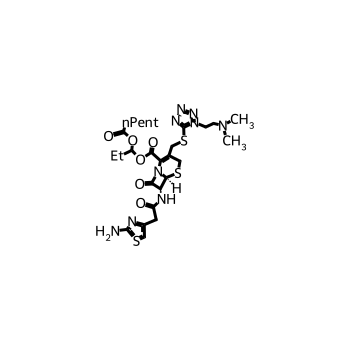 CCCCCC(=O)OC(CC)OC(=O)C1=C(CSc2nnnn2CCN(C)C)CS[C@H]2[C@H](NC(=O)Cc3csc(N)n3)C(=O)N12